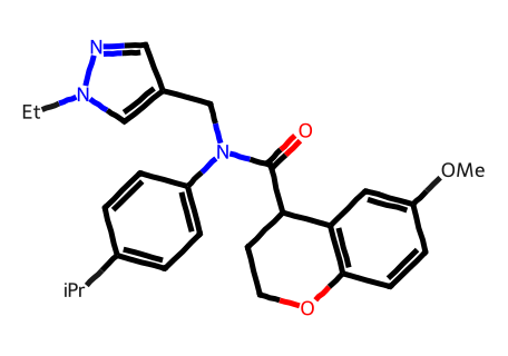 CCn1cc(CN(C(=O)C2CCOc3ccc(OC)cc32)c2ccc(C(C)C)cc2)cn1